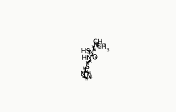 CN(C)CCN(S)C(=O)NCCSCc1cnccn1